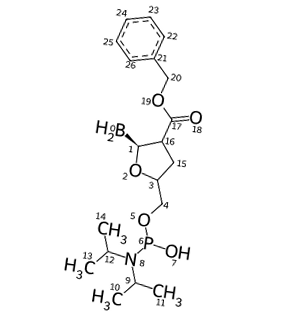 B[C@@H]1OC(COP(O)N(C(C)C)C(C)C)CC1C(=O)OCc1ccccc1